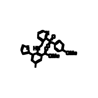 COC(=O)c1cc(C)cc(-c2cccs2)c1NCc1cccnc1S(=O)(=O)c1ccc(OC)cc1